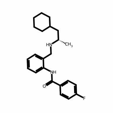 C[C@@H](CC1CCCCC1)NCc1ccccc1NC(=O)c1ccc(F)cc1